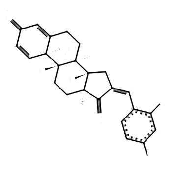 Cc1ccc(C=C2C[C@H]3[C@@H]4CCC5=CC(=O)C=C[C@]5(C)[C@H]4CC[C@]3(C)C2=O)c(C)c1